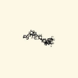 COC(=O)COc1cccc2oc(C(=O)Nc3ccc(-c4ccc(S(=O)(=O)NC(C(=O)OC(C)(C)C)C(C)C)cc4)cc3)c(C)c12